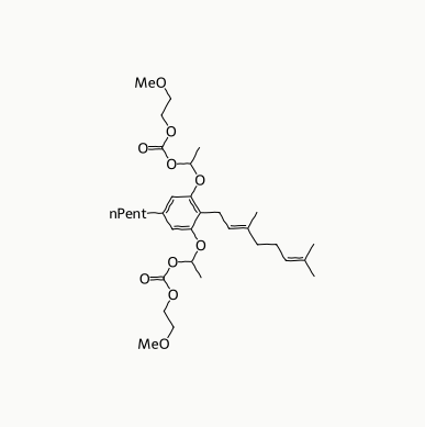 CCCCCc1cc(OC(C)OC(=O)OCCOC)c(CC=C(C)CCC=C(C)C)c(OC(C)OC(=O)OCCOC)c1